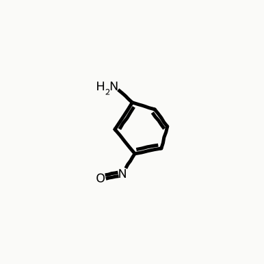 Nc1cccc(N=O)c1